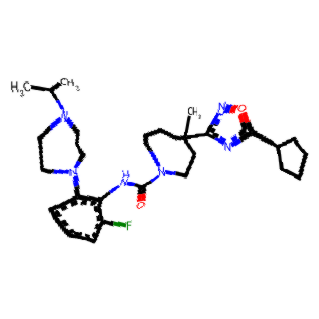 CC(C)N1CCN(c2cccc(F)c2NC(=O)N2CCC(C)(c3noc(C4CCCC4)n3)CC2)CC1